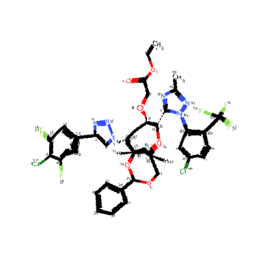 CCOC(=O)CO[C@@H]1[C@@H](n2cc(-c3cc(F)c(Cl)c(F)c3)nn2)[C@H]2OC(c3ccccc3)OC[C@H]2O[C@H]1c1nc(C)nn1-c1cc(Cl)ccc1C(F)(F)F